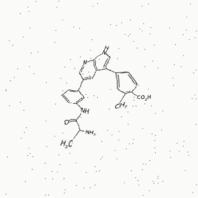 Cc1cc(-c2c[nH]c3ncc(-c4cccc(NC(=O)C(C)N)c4)cc23)ccc1C(=O)O